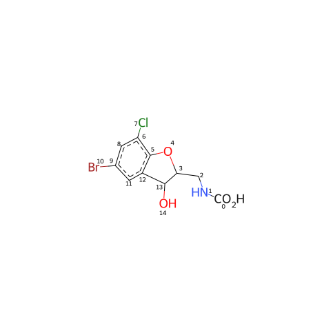 O=C(O)NCC1Oc2c(Cl)cc(Br)cc2C1O